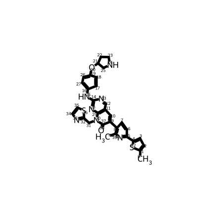 Cc1ccc(-c2ccc(-c3cc4cnc(Nc5ccc(OC6CCNC6)cc5)nc4n(Cc4nccs4)c3=O)c(C)n2)s1